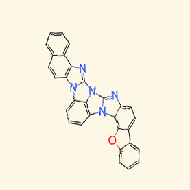 c1ccc2c(c1)ccc1c2nc2n1c1cccc3c1n2c1nc2ccc4c5ccccc5oc4c2n31